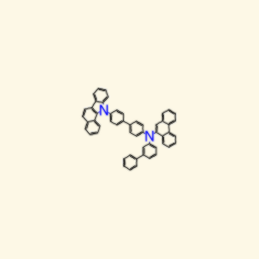 c1ccc(-c2cccc(N(c3ccc(-c4ccc(-n5c6ccccc6c6ccc7ccccc7c65)cc4)cc3)c3cc4ccccc4c4ccccc34)c2)cc1